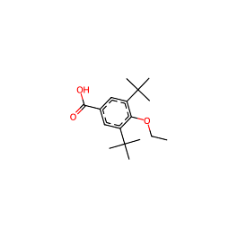 CCOc1c(C(C)(C)C)cc(C(=O)O)cc1C(C)(C)C